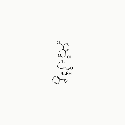 Cc1c(Cl)cccc1C(O)C(=O)N1CCc2nc(C3(c4ccccc4)CC3)[nH]c(=O)c2C1